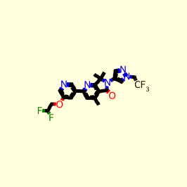 Cc1cc(-c2cncc(OCC(F)F)c2)nc2c1C(=O)N(c1cnn(CC(F)(F)F)c1)C2(C)C